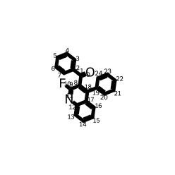 O=C(c1ccccc1)c1c(F)nc2ccccc2c1-c1ccccc1